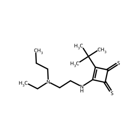 CCCN(CC)CCNc1c(C(C)(C)C)c(=S)c1=S